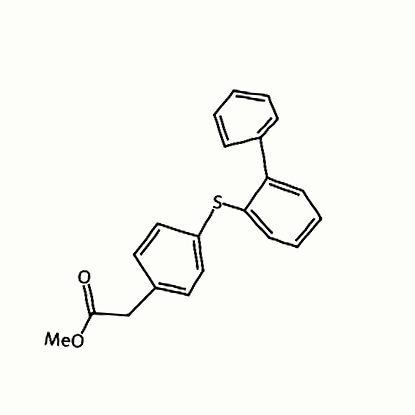 COC(=O)Cc1ccc(Sc2ccccc2-c2ccccc2)cc1